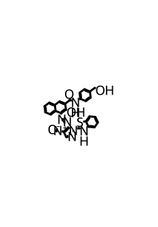 [C-]#[N+]c1cnn(C2Nc3ccccc3S2)c1/N=N/c1c(O)c(C(=O)Nc2ccc(CO)cc2)cc2ccccc12